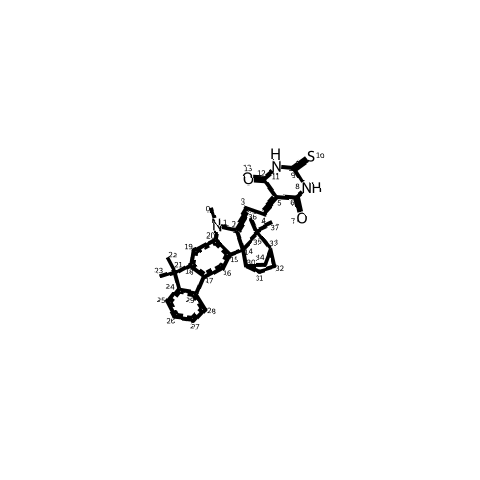 CN1/C(=C/C=C2C(=O)NC(=S)NC2=O)C2(c3cc4c(cc31)C(C)(C)c1ccccc1-4)C1CCC(C1)C2(C)C